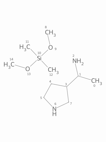 CC(N)C1CCNC1.CO[Si](C)(C)OC